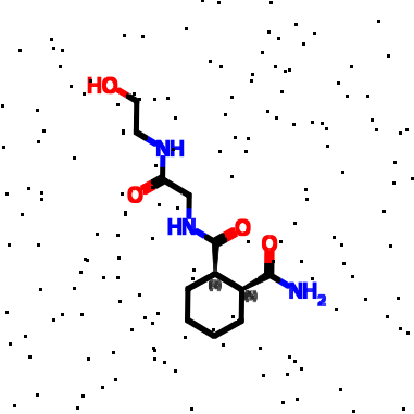 NC(=O)[C@H]1CCCC[C@H]1C(=O)NCC(=O)NCCO